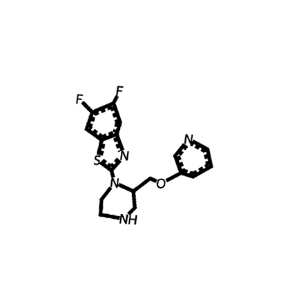 Fc1cc2nc(N3CCNCC3COc3cccnc3)sc2cc1F